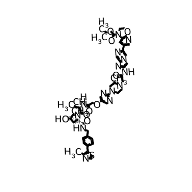 Cc1ncsc1-c1ccc(CNC(=O)[C@@H]2C[C@@H](O)CN2C(=O)[C@@H](NC(=O)COc2cnc(N3CCN(CC(=O)Nc4cn5cc(-c6cnc7c(c6)N(C(=O)OC(C)C)CCO7)ncc5n4)[C@H](C)C3)nc2)C(C)(C)C)cc1